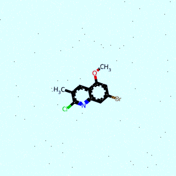 COc1cc(Br)cc2nc(Cl)c(C)cc12